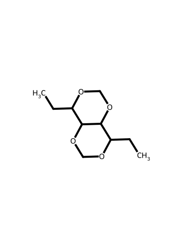 CCC1OCOC2C(CC)OCOC12